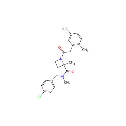 Cc1ccc(C)c(CC(=O)N2CCC2(C)C(=O)N(C)Cc2ccc(Cl)cc2)c1